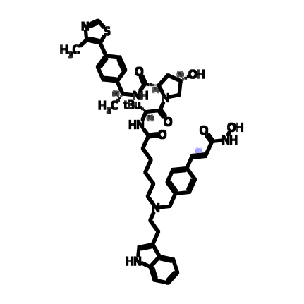 Cc1ncsc1-c1ccc([C@@H](C)NC(=O)[C@@H]2C[C@H](O)CN2C(=O)[C@H](NC(=O)CCCCCN(CCc2c[nH]c3ccccc23)Cc2ccc(/C=C/C(=O)NO)cc2)C(C)(C)C)cc1